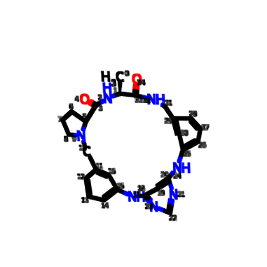 C[C@@H]1NC(=O)C2CCCN2Cc2cccc(c2)Nc2cc(ncn2)Nc2cccc(c2)CNC1=O